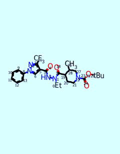 CCN(NC(=O)c1cn(-c2ccccc2)nc1C(F)(F)F)C(=O)C1CCN(C(=O)OC(C)(C)C)CC1C